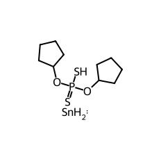 S=P(S)(OC1CCCC1)OC1CCCC1.[SnH2]